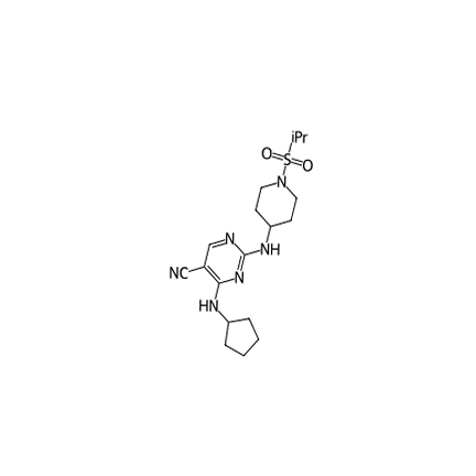 CC(C)S(=O)(=O)N1CCC(Nc2ncc(C#N)c(NC3CCCC3)n2)CC1